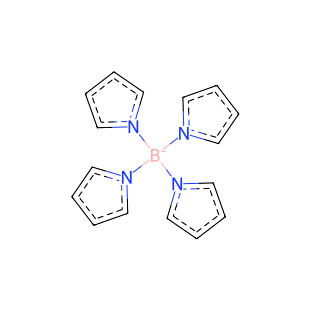 c1ccn([B-](n2cccc2)(n2cccc2)n2cccc2)c1